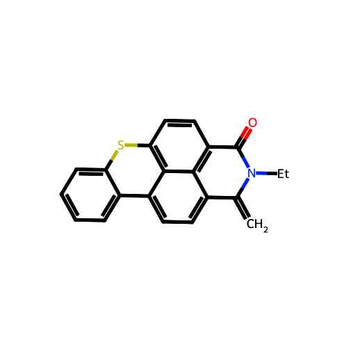 C=c1c2ccc3c4c(ccc(c(=O)n1CC)c42)Sc1ccccc1-3